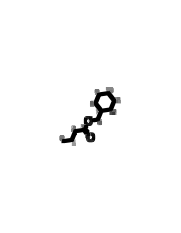 CC[CH]C(=O)OCC1CCCCC1